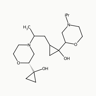 CC(C)N1CCOC(C2(O)CC2CC(C)N2CCO[C@@H](C3(O)CC3)C2)C1